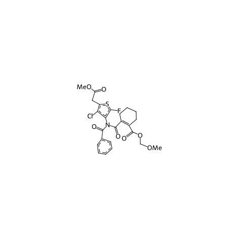 COCOC(=O)C1=C(C(=O)N(C(=O)c2ccccc2)c2c(F)sc(CC(=O)OC)c2Cl)CCCC1